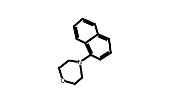 [c]1ccc2ccccc2c1N1CCOCC1